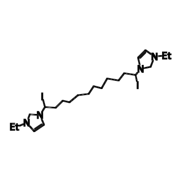 CCN1C=CN(C(I)CCCCCCCCCCC(I)N2C=CN(CC)C2)C1